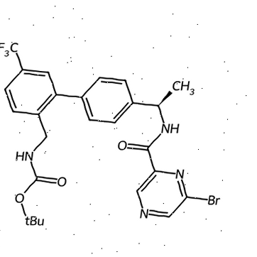 C[C@@H](NC(=O)c1cncc(Br)n1)c1ccc(-c2cc(C(F)(F)F)ccc2CNC(=O)OC(C)(C)C)cc1